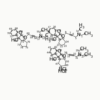 CCN(CC)CC#CCOC(=O)C(O)(c1ccccc1)C1CCCCC1.CCN(CC)CC#CCOC(=O)C(O)(c1ccccc1)C1CCCCC1.CCN(CC)CC#CCOC(=O)C(O)(c1ccccc1)C1CCCCC1.Cl.Cl